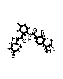 Cc1ccc(NC(=O)c2ccc(C(=N)N(C)C)cc2F)c(C(=O)Nc2ccc(Cl)cn2)c1